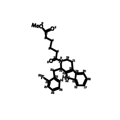 COC(=O)CCCCC(=O)N1CCc2c([nH]c3ccccc23)C1Cc1ccccc1F